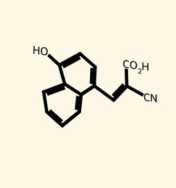 N#C/C(=C/c1ccc(O)c2ccccc12)C(=O)O